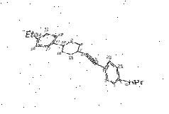 CCCc1ccc(C#CC2CCC(c3ccc(CC)cc3)CC2)cc1